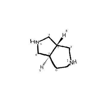 C1NC[C@H]2CNC[C@H]12